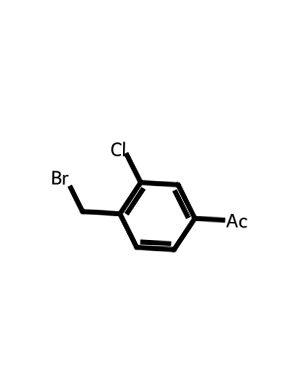 CC(=O)c1ccc(CBr)c(Cl)c1